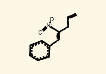 C=CC/C(=C/c1ccccc1)[N+](=O)[O-]